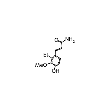 CCc1c(C=CC(N)=O)ccc(O)c1OC